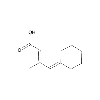 CC(=CC(=O)O)C=C1CCCCC1